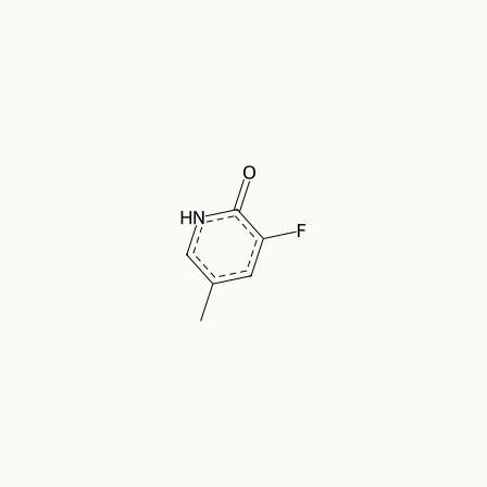 Cc1c[nH]c(=O)c(F)c1